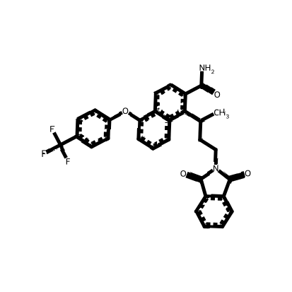 CC(CCN1C(=O)c2ccccc2C1=O)c1c(C(N)=O)ccc2c(Oc3ccc(C(F)(F)F)cc3)cccc12